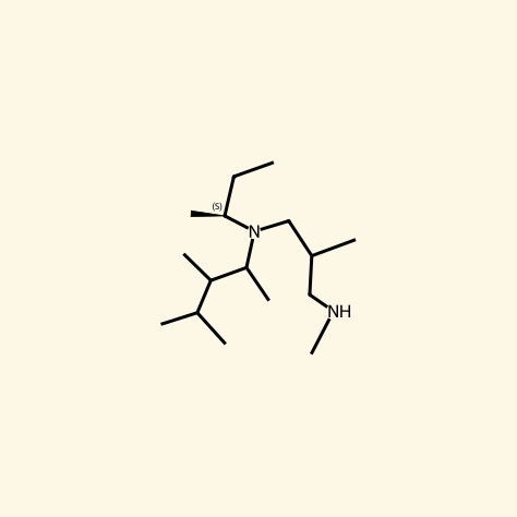 CC[C@H](C)N(CC(C)CNC)C(C)C(C)C(C)C